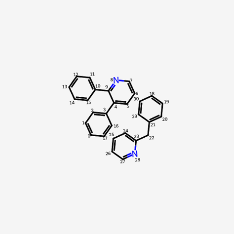 c1ccc(-c2cccnc2-c2ccccc2)cc1.c1ccc(Cc2ccccn2)cc1